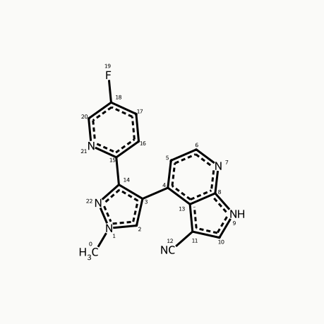 Cn1cc(-c2ccnc3[nH]cc(C#N)c23)c(-c2ccc(F)cn2)n1